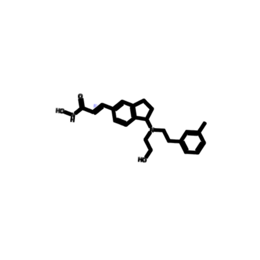 Cc1cccc(CCN(CCO)C2CCc3cc(/C=C/C(=O)NO)ccc32)c1